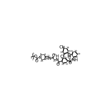 CC(C)(C)OC(=O)N1CCC(CNC(=O)CNC(=O)c2ccc(S(=O)(=O)Nc3ccccc3Oc3ccc(Cl)cc3Cl)cc2)CC1